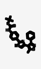 Cc1onc(-c2ccccc2)c1-c1c[nH]c(-c2ccc(NC(=O)OC(C)(C)C)cc2)n1